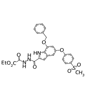 CCOC(=O)C(=O)NNC(=O)c1cc2cc(Oc3ccc(S(C)(=O)=O)cc3)cc(OCc3ccccc3)c2[nH]1